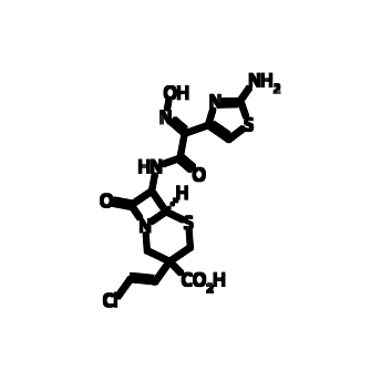 Nc1nc(C(=NO)C(=O)NC2C(=O)N3CC(C=CCl)(C(=O)O)CS[C@H]23)cs1